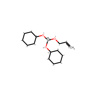 C=CCO[SiH](OC1CCCCC1)OC1CCCCC1